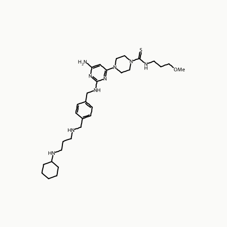 COCCCNC(=S)N1CCN(c2cc(N)nc(NCc3ccc(CNCCCNC4CCCCC4)cc3)n2)CC1